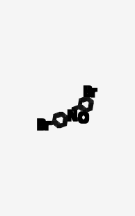 Brc1ccc(N2COc3ccc(Br)cc3C2)cc1